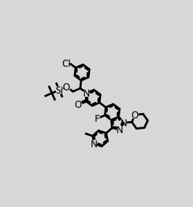 Cc1cc(-c2nn(C3CCCCO3)c3ccc(-c4ccn(C(CO[Si](C)(C)C(C)(C)C)c5cccc(Cl)c5)c(=O)c4)c(F)c23)ccn1